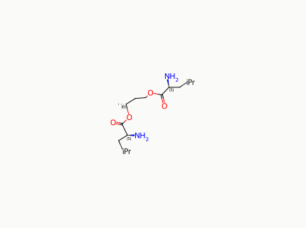 CC(C)C[C@H](N)C(=O)OCC[C@@H](C)OC(=O)[C@@H](N)CC(C)C